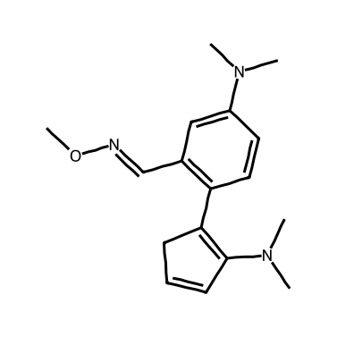 CON=Cc1cc(N(C)C)ccc1C1=C(N(C)C)C=CC1